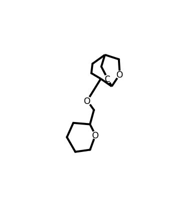 C1CCC(COC2CCC3CCC2OC3)OC1